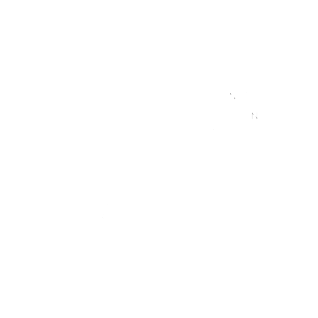 c1cc(-c2ccc(-c3ccc4c(c3)c3ccccc3c3nccnc43)cc2)cc(-c2ccc3sc4ccccc4c3c2)c1